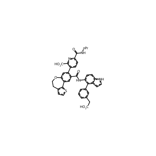 CCCNC(=O)c1ccc(-c2cc3c(cc2C(=O)Nc2ccc4[nH]ccc4c2-c2cccc(CC(=O)O)c2)-c2sccc2CCO3)c(C(=O)O)n1